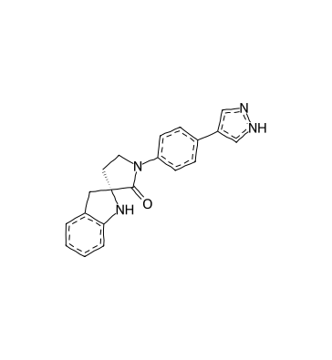 O=C1N(c2ccc(-c3cn[nH]c3)cc2)CC[C@]12Cc1ccccc1N2